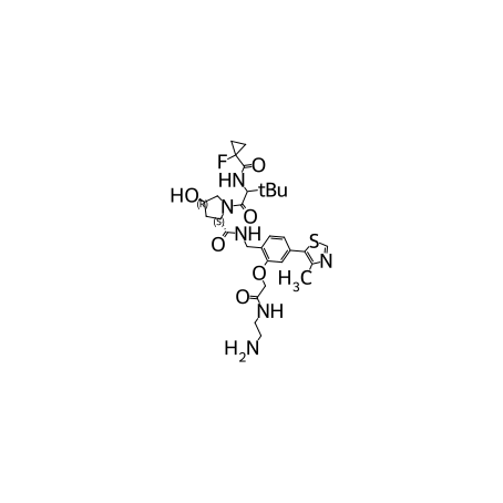 Cc1ncsc1-c1ccc(CNC(=O)[C@@H]2C[C@@H](O)CN2C(=O)C(NC(=O)C2(F)CC2)C(C)(C)C)c(OCC(=O)NCCN)c1